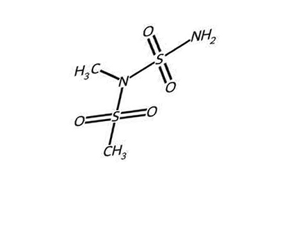 CN(S(C)(=O)=O)S(N)(=O)=O